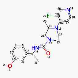 COc1cccc([C@@H](C)NC(=O)N2CCN(c3ccncc3F)C(C)C2)c1